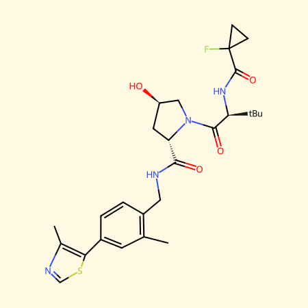 Cc1cc(-c2scnc2C)ccc1CNC(=O)[C@@H]1C[C@@H](O)CN1C(=O)[C@@H](NC(=O)C1(F)CC1)C(C)(C)C